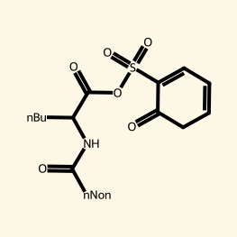 CCCCCCCCCC(=O)NC(CCCC)C(=O)OS(=O)(=O)C1=CC=CCC1=O